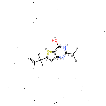 C=C(C)C(C)(C)c1cc2nc(C(C)C)nc(O)c2s1